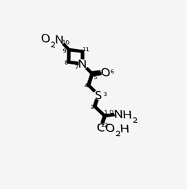 NC(CSCC(=O)N1CC([N+](=O)[O-])C1)C(=O)O